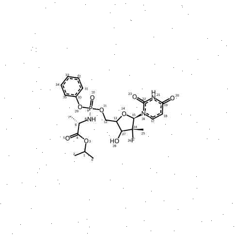 CC(C)OC(=O)[C@H](C)N[P@](=O)(OCC1O[C@@H](n2ccc(=O)[nH]c2=O)[C@](C)(F)C1O)Oc1ccccc1